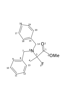 COC(=O)C(C)(F)N(Cc1ccccc1)Cc1ccccc1